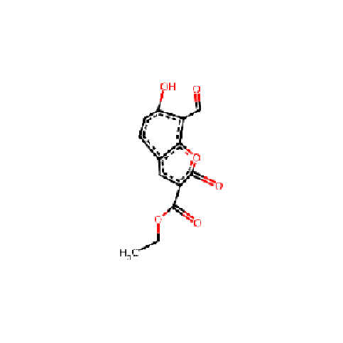 CCOC(=O)c1cc2ccc(O)c(C=O)c2oc1=O